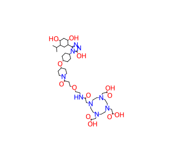 CC(C)C1CC(c2nnc(O)n2C2CCC(OC3CCN(C(=O)CCOCCNC(=O)CN4CCN(CC(=O)O)CCN(CC(=O)O)CCN(CC(=O)O)CC4)CC3)CC2)C(O)CC1O